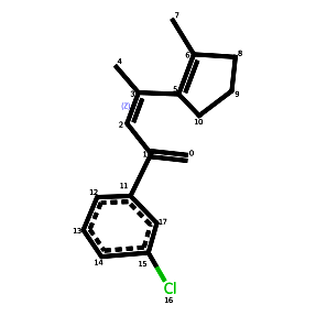 C=C(/C=C(/C)C1=C(C)CCC1)c1cccc(Cl)c1